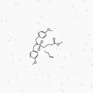 C=CCC[C@@H](CCC(=O)OC)S(=O)(=O)N(Cc1ccc(OC)cc1)Cc1ccc(OC)cc1